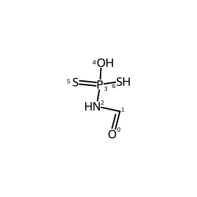 O=CNP(O)(=S)S